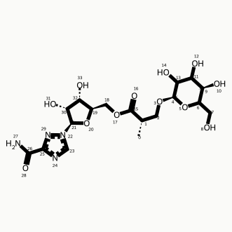 C[C@@H](CO[C@@H]1OC(CO)[C@H](O)C(O)C1O)C(=O)OC[C@H]1O[C@@H](n2cnc(C(N)=O)n2)[C@H](O)[C@@H]1O